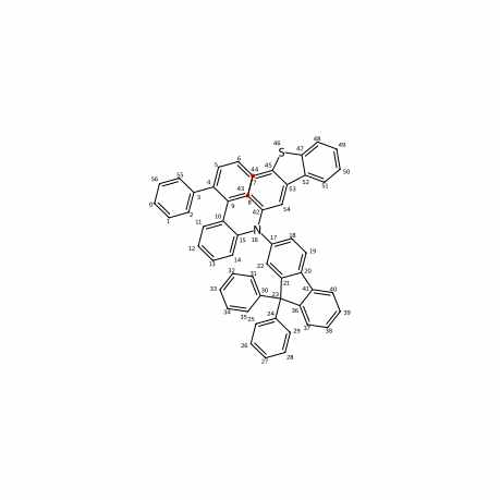 c1ccc(-c2ccccc2-c2ccccc2N(c2ccc3c(c2)C(c2ccccc2)(c2ccccc2)c2ccccc2-3)c2ccc3sc4ccccc4c3c2)cc1